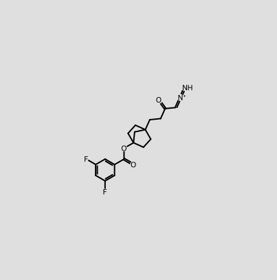 N=[N+]=CC(=O)CCC12CCC(OC(=O)c3cc(F)cc(F)c3)(CC1)C2